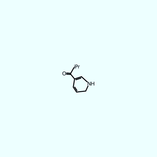 CC(C)C(=O)C1=CNCC=C1